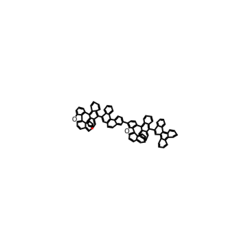 c1ccc2c(c1)ccc1oc3cccc(-c4c5ccccc5c(-c5cc6ccc7cc(-c8ccc(-c9c%10ccccc%10c(-c%10cc%11c%12ccccc%12c%12ccccc%12c%11c%11ccccc%10%11)c%10ccccc9%10)c9c8oc8ccc%10ccccc%10c89)ccc7c6c6ccccc56)c5ccccc45)c3c12